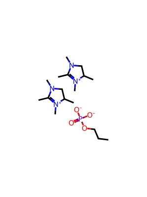 CC1=[N+](C)C(C)CN1C.CC1=[N+](C)C(C)CN1C.CCCOP(=O)([O-])[O-]